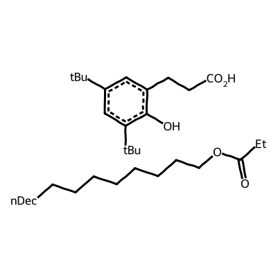 CC(C)(C)c1cc(CCC(=O)O)c(O)c(C(C)(C)C)c1.CCCCCCCCCCCCCCCCCCOC(=O)CC